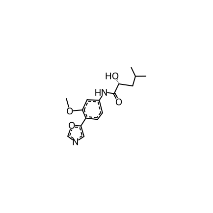 COc1cc(NC(=O)[C@H](O)CC(C)C)ccc1-c1cnco1